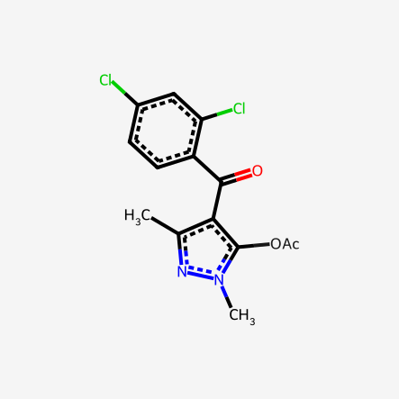 CC(=O)Oc1c(C(=O)c2ccc(Cl)cc2Cl)c(C)nn1C